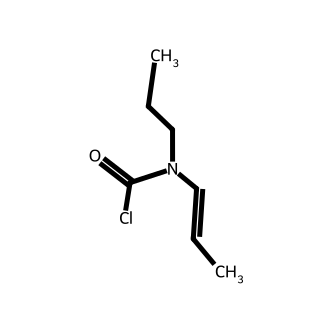 CC=CN(CCC)C(=O)Cl